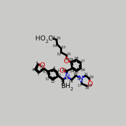 BC(c1ccc(-c2ccco2)cc1)N(CCN1CCOCC1)C(=O)c1ccccc1OCCCCCC(=O)O